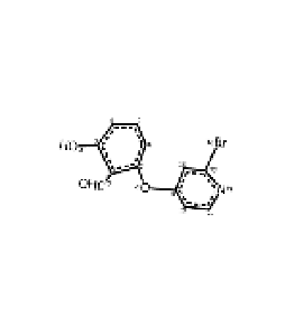 O=Cc1c(O)cccc1Oc1ccnc(Br)c1